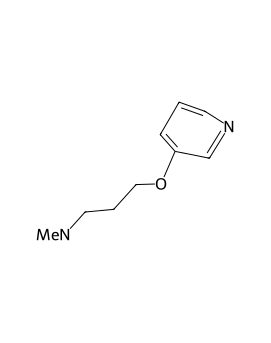 CNCCCOc1cccnc1